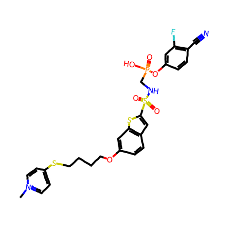 C[n+]1ccc(SCCCCOc2ccc3cc(S(=O)(=O)NCP(=O)(O)Oc4ccc(C#N)c(F)c4)sc3c2)cc1